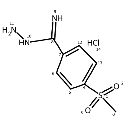 CS(=O)(=O)c1ccc(C(=N)NN)cc1.Cl